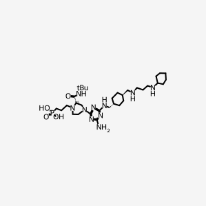 CC(C)(C)NC(=O)[C@@H]1CN(c2nc(N)nc(NC[C@H]3CC[C@H](CNCCCNC4CCCCC4)CC3)n2)CCN1CCCP(=O)(O)O